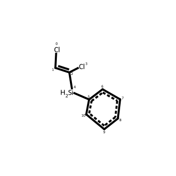 ClC=C(Cl)[SiH2]c1ccccc1